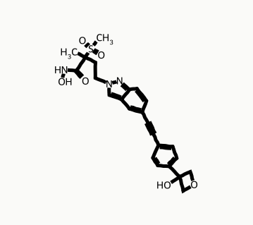 CC(CCn1cc2cc(C#Cc3ccc(C4(O)COC4)cc3)ccc2n1)(C(=O)NO)S(C)(=O)=O